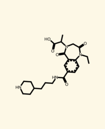 CCN1C(=O)CN(C(C)C(=O)O)C(=O)c2cc(C(=O)NCCCC3CCNCC3)ccc21